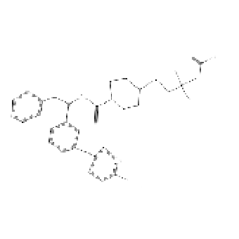 CC(C)(CCC1CCC(C(=O)NC(Cc2ccccc2)c2cccc(-c3ccc(N)nc3)c2)CC1)OC(N)=O